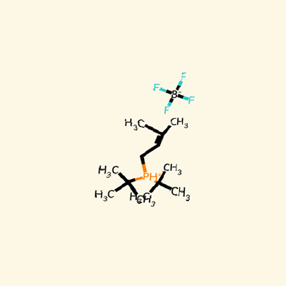 CC(C)=CC[PH+](C(C)(C)C)C(C)(C)C.F[B-](F)(F)F